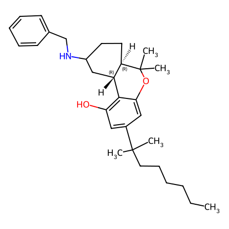 CCCCCCC(C)(C)c1cc(O)c2c(c1)OC(C)(C)[C@@H]1CCC(NCc3ccccc3)C[C@@H]21